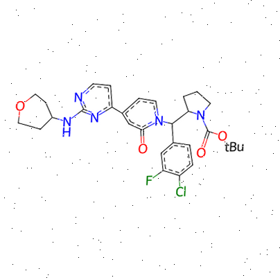 CC(C)(C)OC(=O)N1CCCC1C(c1ccc(Cl)c(F)c1)n1ccc(-c2ccnc(NC3CCOCC3)n2)cc1=O